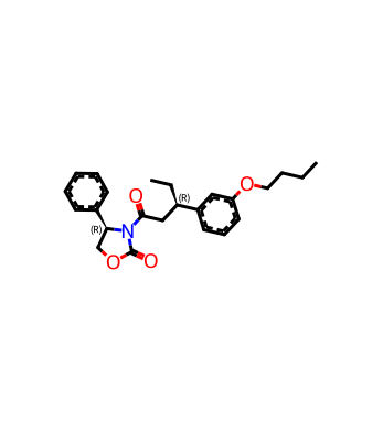 CCCCOc1cccc([C@H](CC)CC(=O)N2C(=O)OC[C@H]2c2ccccc2)c1